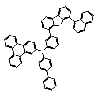 c1ccc(-c2ccc(N(c3cccc(-c4cccc5c4sc4c(-c6cccc7ccccc67)cccc45)c3)c3ccc4c5ccccc5c5ccccc5c4c3)cc2)cc1